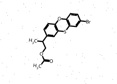 CC(=O)OCC(C)c1ccc2c(c1)Sc1cc(Br)ccc1O2